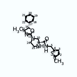 Cc1ccc(CNC(=O)[C@@H]2CN(C3=N[C@@H](C)[C@H](c4ccccc4)O3)CCN2)s1